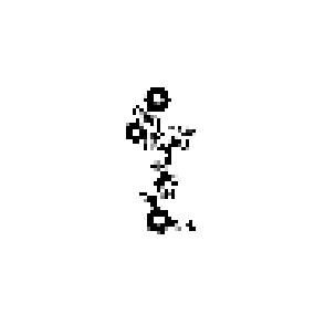 COC(=O)[C@@H](CNC(=O)CNC(=O)c1cccc(N)c1)NC(=O)[C@@H]1CCCN1S(=O)(=O)c1ccccc1